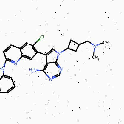 CN(C)CC1CC(n2cc(-c3cc4nc(Nc5ccccc5)ccc4cc3Cl)c3c(N)ncnc32)C1